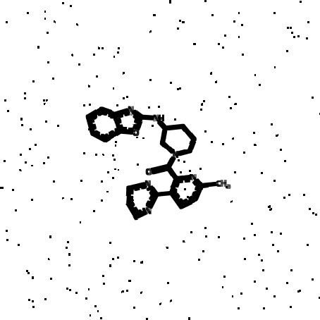 Cc1ccc(-c2ncccn2)c(C(=O)N2CCCC(Nc3nc4ccccc4o3)C2)n1